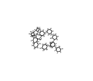 c1ccc(-c2cc(-c3cccc(-c4cccc(-c5ccc6c(c5)Oc5c(ccc7ccccc57)C65c6ccccc6-c6ccccc65)c4)c3)nc(-c3ccccc3)n2)cc1